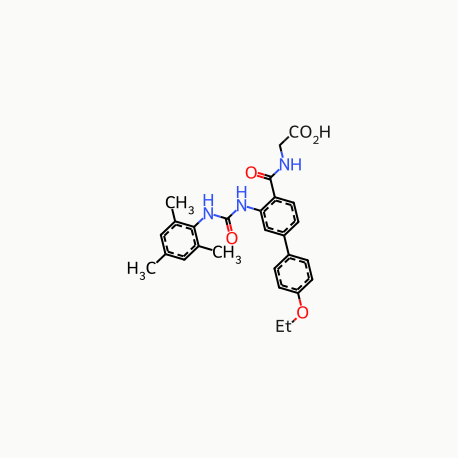 CCOc1ccc(-c2ccc(C(=O)NCC(=O)O)c(NC(=O)Nc3c(C)cc(C)cc3C)c2)cc1